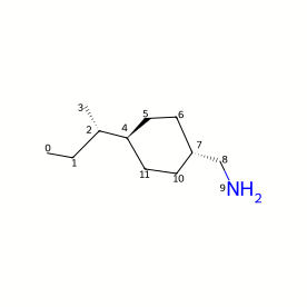 CC[C@H](C)[C@H]1CC[C@H](CN)CC1